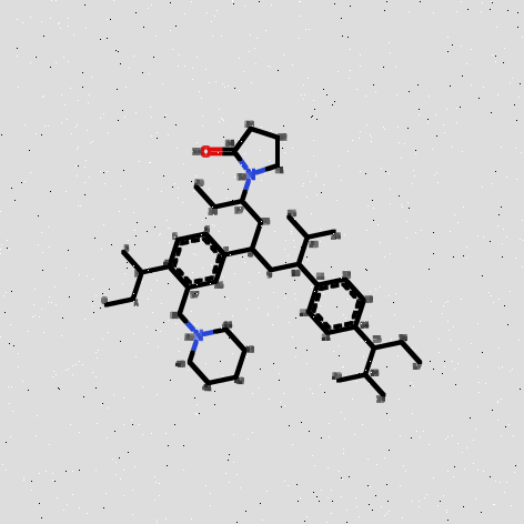 CCC(C)c1ccc(C(CC(c2ccc(C(CC)C(C)C)cc2)C(C)C)CC(CC)N2CCCC2=O)cc1CN1CCCCC1